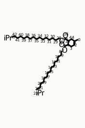 CC1=CCC(C(=O)OCCCCCCCCCCCCCCCC(C)C)C(C(=O)OCCCCCCCCCCCCCCCC(C)C)C1